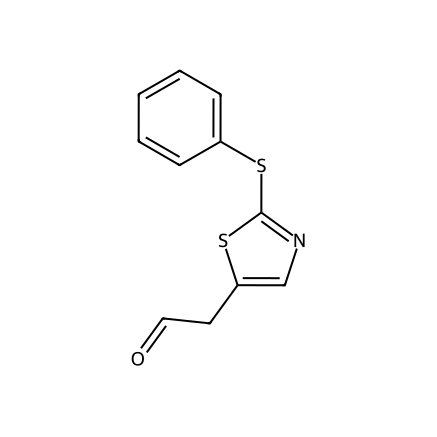 O=CCc1cnc(Sc2ccccc2)s1